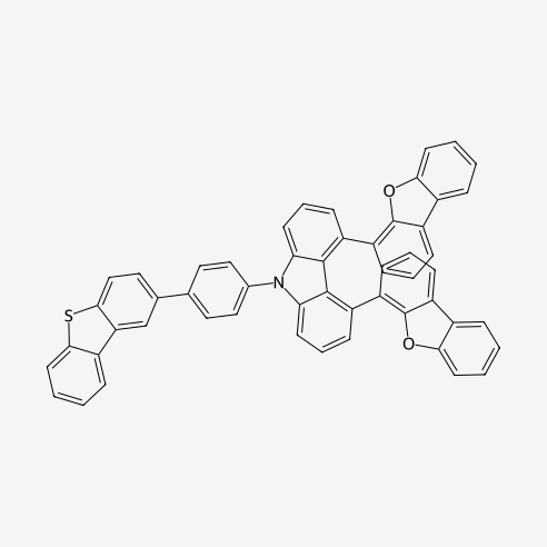 c1ccc2c(c1)oc1c(-c3cccc4c3c3c(-c5cccc6c5oc5ccccc56)cccc3n4-c3ccc(-c4ccc5sc6ccccc6c5c4)cc3)cccc12